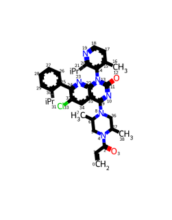 C=CC(=O)N1CC(C)N(c2nc(=O)n(-c3c(C)ccnc3C(C)C)c3nc(-c4ccccc4C(C)C)c(Cl)cc23)CC1C